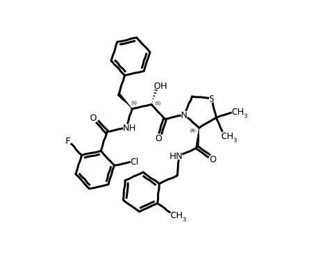 Cc1ccccc1CNC(=O)[C@H]1N(C(=O)[C@@H](O)[C@H](Cc2ccccc2)NC(=O)c2c(F)cccc2Cl)CSC1(C)C